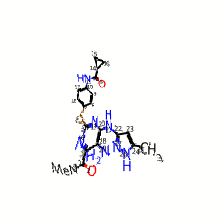 CNC(=O)c1nc(Sc2ccc(NC(=O)C3CC3)cc2)nc(Nc2cc(C)[nH]n2)c1N